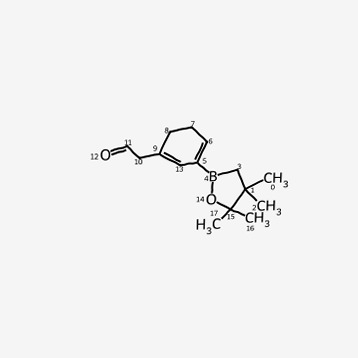 CC1(C)CB(C2=CCCC(CC=O)=C2)OC1(C)C